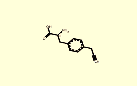 C#CCc1ccc(C[C@H](N)C(=O)O)cc1